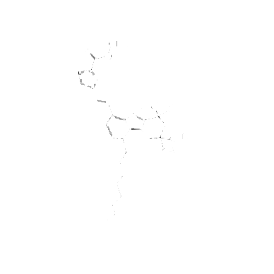 CCCCCCCCC1C=CC(/C=C/c2ccc(C(=O)OC)o2)=C2N=C3C(=C21)CC(C)(C)CC3(C)C